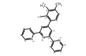 Cc1ccc(-c2cc(-c3ccccn3)nc(-c3ccccn3)c2)c(I)c1C